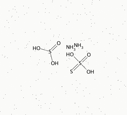 N.N.O=S(O)(O)=S.O=S(O)O